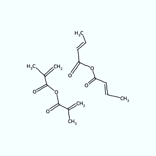 C=C(C)C(=O)OC(=O)C(=C)C.CC=CC(=O)OC(=O)C=CC